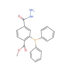 COC(=O)c1ccc(C(=O)NN)cc1P(c1ccccc1)c1ccccc1